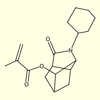 C=C(C)C(=O)OC1C2CC3C(=O)N(C4CCCCC4)C1C3C2